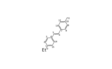 CCc1ccc(C=Cc2ccc(C)cc2)cc1